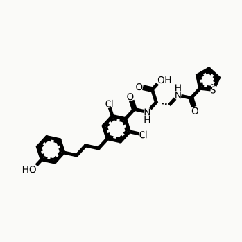 O=C(NC[C@H](NC(=O)c1c(Cl)cc(CCCc2cccc(O)c2)cc1Cl)C(=O)O)c1cccs1